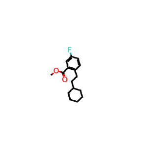 COC(=O)c1cc(F)ccc1CCC1CCCCC1